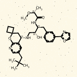 CO[C@H](C)C(=O)N[C@@H](Cc1cccc(-c2ncco2)c1)[C@H](O)CN[C@H]1CC2(CCC2)Oc2ncc(CC(C)(C)C)cc21